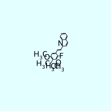 COc1cc(C=Cc2ccc3ccccc3n2)c(F)c(OC)c1C(C)C